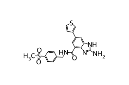 CS(=O)(=O)c1ccc(CNC(=O)c2cc(-c3ccsc3)cc3[nH]c(N)nc23)cc1